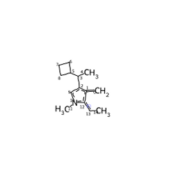 C=c1c(C(C)C2CCC2)cn(C)/c1=C/C